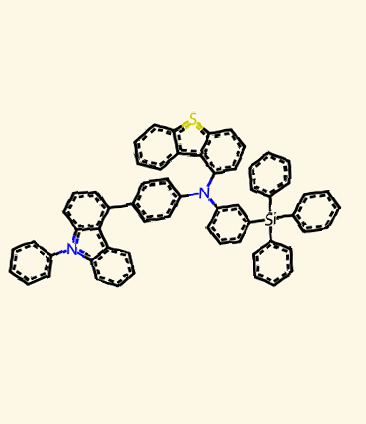 c1ccc(-n2c3ccccc3c3c(-c4ccc(N(c5cccc([Si](c6ccccc6)(c6ccccc6)c6ccccc6)c5)c5cccc6sc7ccccc7c56)cc4)cccc32)cc1